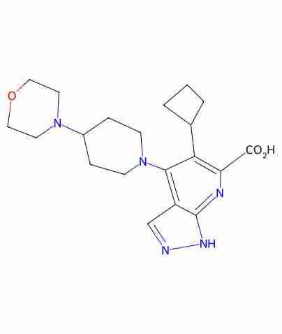 O=C(O)c1nc2[nH]ncc2c(N2CCC(N3CCOCC3)CC2)c1C1CCC1